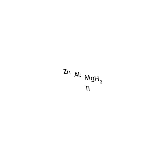 [Al].[MgH2].[Ti].[Zn]